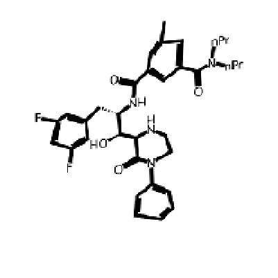 CCCN(CCC)C(=O)c1cc(C)cc(C(=O)N[C@@H](Cc2cc(F)cc(F)c2)[C@H](O)C2NCCN(c3ccccc3)C2=O)c1